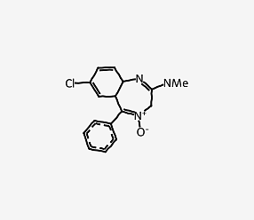 CNC1=NC2C=CC(Cl)=CC2C(c2ccccc2)=[N+]([O-])C1